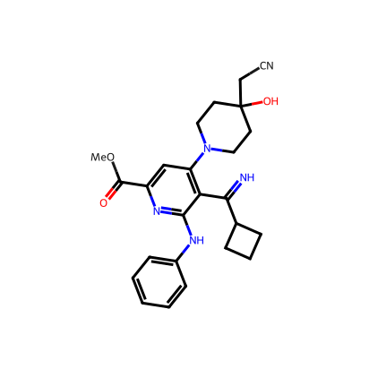 COC(=O)c1cc(N2CCC(O)(CC#N)CC2)c(C(=N)C2CCC2)c(Nc2ccccc2)n1